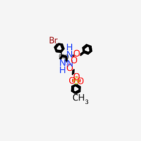 Cc1ccc(S(=O)(=O)OCCO/N=C2\NC[C@@H](c3ccc(Br)cc3)[C@@H]2NC(=O)OCc2ccccc2)cc1